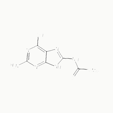 COC(=O)Nc1nc2c(O)nc(N)nc2[nH]1